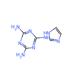 Nc1nc(N)nc(N)n1.c1c[nH]cn1